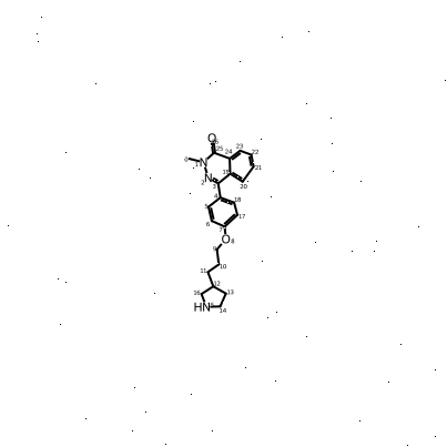 Cn1nc(-c2ccc(OCCCC3CCNC3)cc2)c2ccccc2c1=O